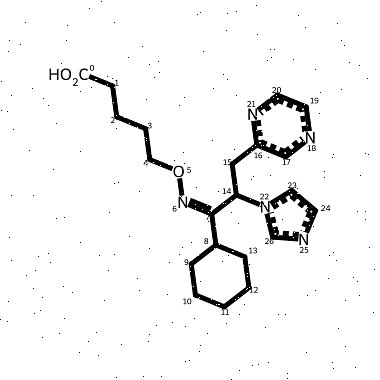 O=C(O)CCCCON=C(C1CCCCC1)C(Cc1cnccn1)n1ccnc1